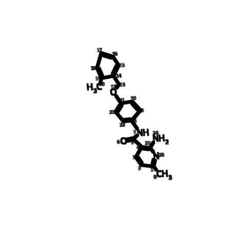 Cc1ccc(C(=O)Nc2ccc(OCc3ccccc3C)cc2)c(N)n1